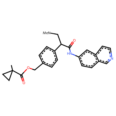 CNCC(C(=O)Nc1ccc2cnccc2c1)c1ccc(COC(=O)C2(C)CC2)cc1